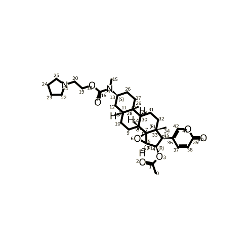 CC(=O)O[C@H]1[C@H]2O[C@]23[C@@H]2CC[C@@H]4C[C@@H](N(C)C(=O)OCCN5CCCC5)CC[C@]4(C)[C@H]2CC[C@]3(C)[C@H]1c1ccc(=O)oc1